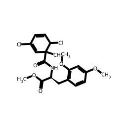 COC(=O)[C@H](Cc1ccc(OC)cc1OC)NC(=O)C1(C)C=C(Cl)C=CC1Cl